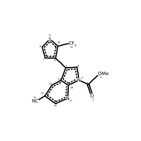 COC(=O)n1cc(-c2ccsc2C(F)(F)F)c2cc(C#N)cnc21